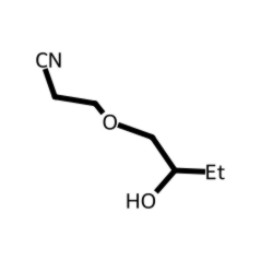 CCC(O)COCCC#N